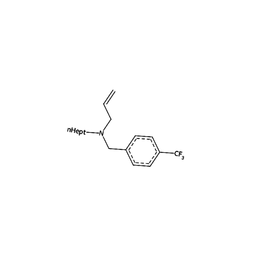 C=CCN(CCCCCCC)Cc1ccc(C(F)(F)F)cc1